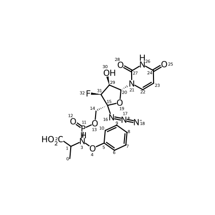 CC(C(=O)O)N(Oc1ccccc1)[PH](=O)OC[C@@]1(N=[N+]=[N-])O[C@@H](n2ccc(=O)[nH]c2=O)[C@H](O)[C@@H]1F